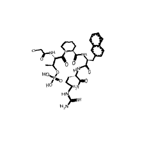 C[C@H](OP(=O)(O)O)[C@H](NC(=O)CCl)C(=O)N1CCCC[C@H]1C(=O)N[C@@H](Cc1ccc2ccccc2c1)C(=O)N[C@@H](CCCNC(=N)N)C(N)=O